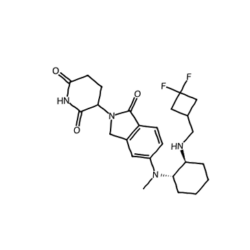 CN(c1ccc2c(c1)CN(C1CCC(=O)NC1=O)C2=O)[C@H]1CCCC[C@@H]1NCC1CC(F)(F)C1